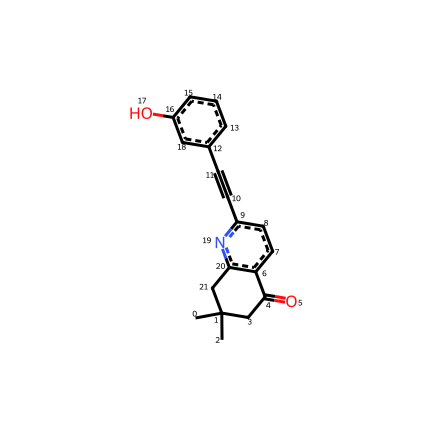 CC1(C)CC(=O)c2ccc(C#Cc3cccc(O)c3)nc2C1